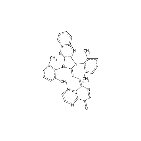 Cc1cccc(C)c1N1C(=C/C=C2/N=NC(=O)c3nccnc32)N(c2c(C)cccc2C)c2nc3ccccc3nc21